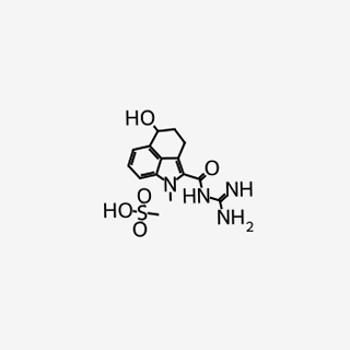 CS(=O)(=O)O.Cn1c(C(=O)NC(=N)N)c2c3c(cccc31)C(O)CC2